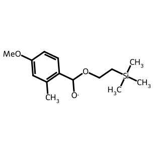 COc1ccc(C([O])OCC[Si](C)(C)C)c(C)c1